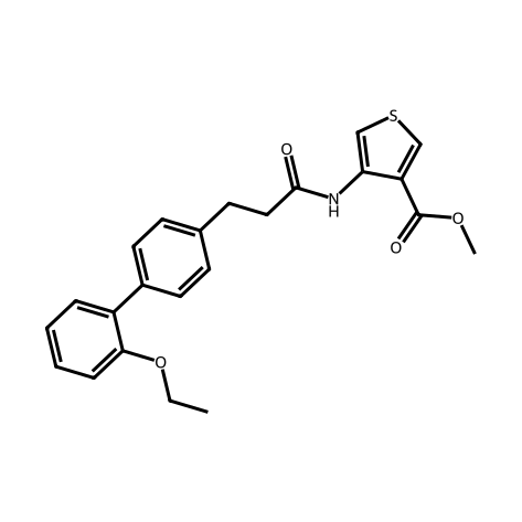 CCOc1ccccc1-c1ccc(CCC(=O)Nc2cscc2C(=O)OC)cc1